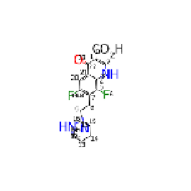 O=C(O)c1c[nH]c2c(F)c(CCN3CC4CCC3CN4)c(F)cc2c1=O